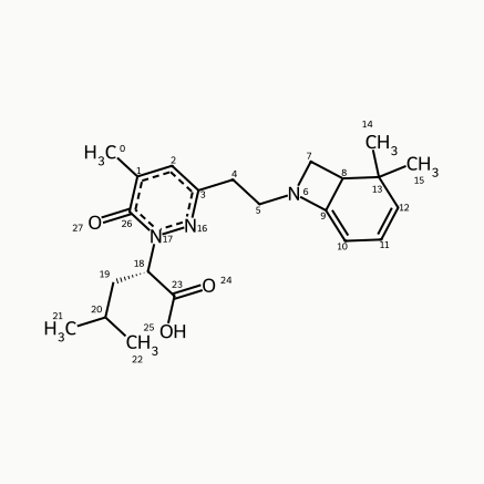 Cc1cc(CCN2CC3C2=CC=CC3(C)C)nn([C@@H](CC(C)C)C(=O)O)c1=O